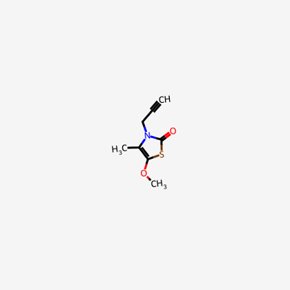 C#CCn1c(C)c(OC)sc1=O